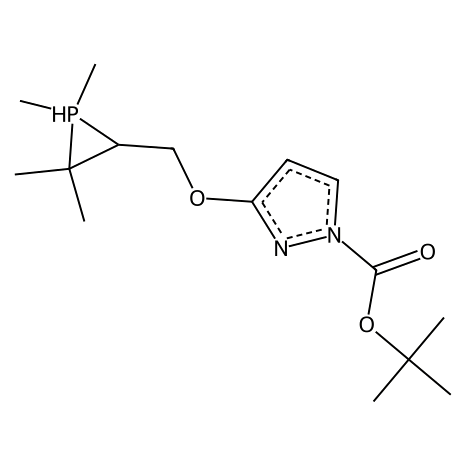 CC(C)(C)OC(=O)n1ccc(OCC2C(C)(C)[PH]2(C)C)n1